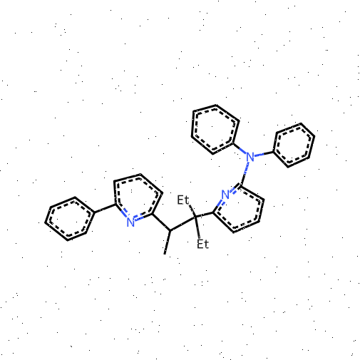 CCC(CC)(c1cccc(N(c2ccccc2)c2ccccc2)n1)C(C)c1cccc(-c2ccccc2)n1